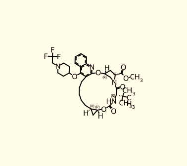 COC(=O)[C@@H]1C[C@@H]2CN1C(=O)[C@H](C(C)(C)C)NC(=O)O[C@@H]1C[C@H]1CCCCCc1c(nc3ccccc3c1OC1CCN(CC(F)(F)F)CC1)O2